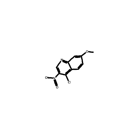 COc1ccc2c(Cl)c([N+](=O)[O-])cnc2c1